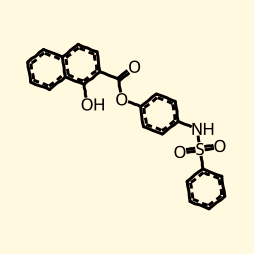 O=C(Oc1ccc(NS(=O)(=O)c2ccccc2)cc1)c1ccc2ccccc2c1O